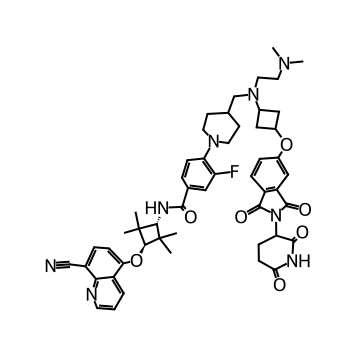 CN(C)CCN(CC1CCN(c2ccc(C(=O)N[C@H]3C(C)(C)[C@H](Oc4ccc(C#N)c5ncccc45)C3(C)C)cc2F)CC1)C1CC(Oc2ccc3c(c2)C(=O)N(C2CCC(=O)NC2=O)C3=O)C1